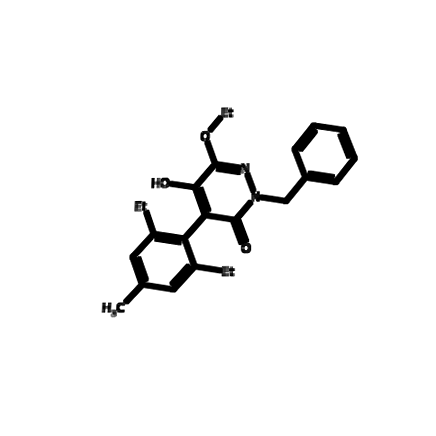 CCOc1nn(Cc2ccccc2)c(=O)c(-c2c(CC)cc(C)cc2CC)c1O